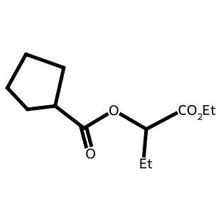 CCOC(=O)C(CC)OC(=O)C1CCCC1